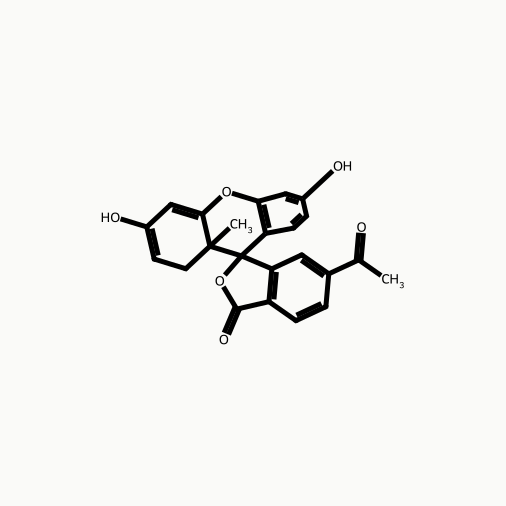 CC(=O)c1ccc2c(c1)C1(OC2=O)c2ccc(O)cc2OC2=CC(O)=CCC21C